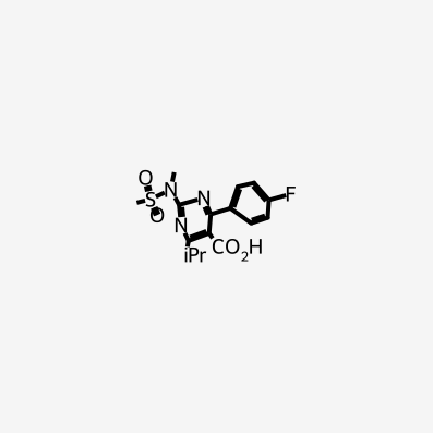 CC(C)c1nc(N(C)S(C)(=O)=O)nc(-c2ccc(F)cc2)c1C(=O)O